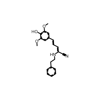 COc1cc(C=CC=C(C#N)NCCc2ccccc2)cc(OC)c1O